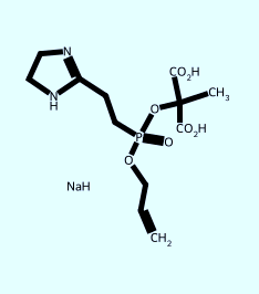 C=CCOP(=O)(CCC1=NCCN1)OC(C)(C(=O)O)C(=O)O.[NaH]